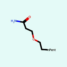 CCCCCCCOCCC(N)=O